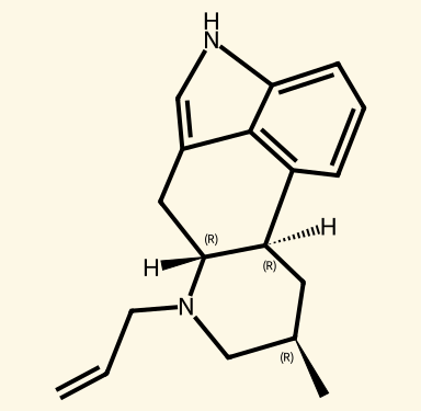 C=CCN1C[C@H](C)C[C@@H]2c3cccc4[nH]cc(c34)C[C@H]21